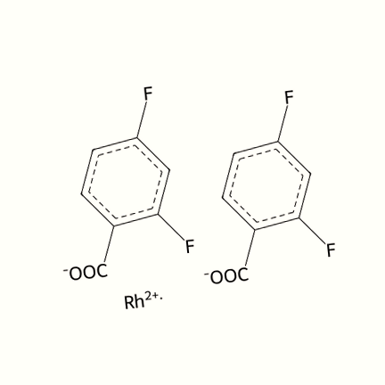 O=C([O-])c1ccc(F)cc1F.O=C([O-])c1ccc(F)cc1F.[Rh+2]